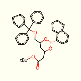 CC(C)(C)OC(=O)CC1CC(COC(c2ccccc2)(c2ccccc2)c2ccccc2)OB(c2cccc3ccccc23)O1